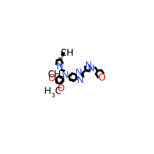 C#C[C@H]1CCN(CCN(c2cc(OC)cc(OC)c2)c2ccc3ncc(-c4cnn(CC5CCOCC5)c4)nc3c2)C1